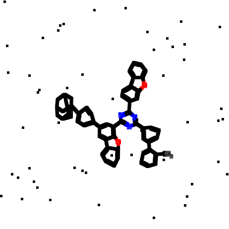 Cc1ccccc1-c1cccc(-c2nc(-c3ccc4c(c3)oc3ccccc34)nc(-c3cc(-c4ccc(C56CC7CC(CC(C7)C5)C6)cc4)cc4c3oc3ccccc34)n2)c1